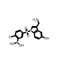 NCc1cn(S(=O)(=O)c2ccc(Cl)c(N(O)O)c2)c2ccc(O)cc12